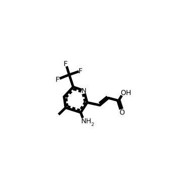 Cc1cc(C(F)(F)F)nc(/C=C/C(=O)O)c1N